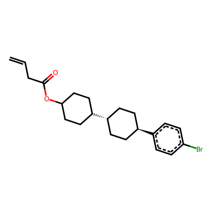 C=CCC(=O)OC1CCC([C@H]2CC[C@H](c3ccc(Br)cc3)CC2)CC1